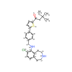 CC(C)(C)CC(=O)c1ccc(-c2ccc(CNc3c(Cl)ccc4c3CCNCC4)cc2)s1